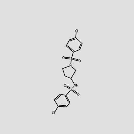 O=S(=O)(NC1CCN(S(=O)(=O)c2ccc(Cl)cc2)C1)c1ccc(Cl)cc1